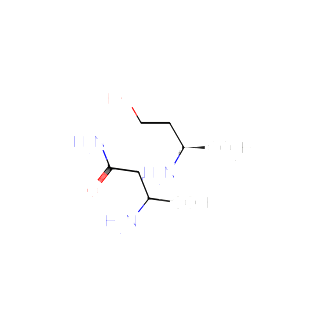 NC(=O)CC(N)C(=O)O.N[C@@H](CCO)C(=O)O